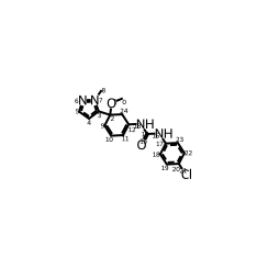 COC1(c2ccnn2C)C=CC=C(NC(=O)Nc2ccc(Cl)cc2)C1